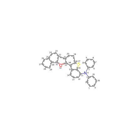 c1ccc(N(c2ccccc2)c2cccc3c2sc2ccc4c5ccc6ccccc6c5oc4c23)cc1